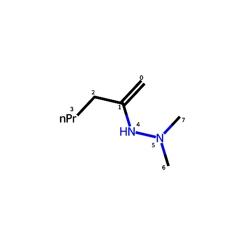 C=C(CCCC)NN(C)C